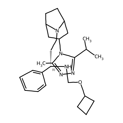 Cc1nnc(C(C)C)n1C1CC2CCC(C1)N2CC[C@H](NCOC1CCC1)c1ccccc1